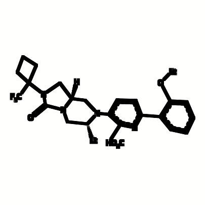 CCOc1ccccc1-c1ccc(N2C[C@H]3CN(C4(C(F)(F)F)CCC4)C(=O)N3C[C@H]2CC)c(C(=O)O)n1